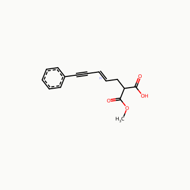 COC(=O)C(C/C=C/C#Cc1ccccc1)C(=O)O